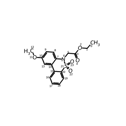 CCOC(=O)CN1c2ccc(OC)cc2-c2ccccc2S1(=O)=O